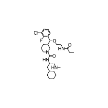 CCC(=O)NCCO[C@@H](c1cccc(Cl)c1F)[C@@H]1CCCN(C(=O)N[C@H](CNC)CC2CCCCC2)C1